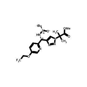 COC(=O)C(C)(C)n1cc([C@@H](N[S@@+]([O-])C(C)(C)C)c2ccc(OCC(F)(F)F)cn2)nn1